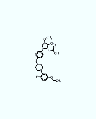 CCOc1ccc(F)c(N2CCC(Oc3ccc(N4CC(OC)C(C)[C@@H]4CC(=O)O)cn3)CC2)c1